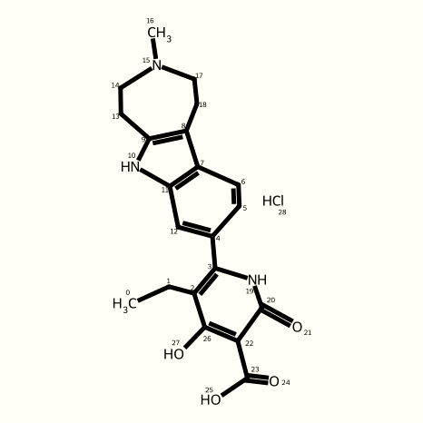 CCc1c(-c2ccc3c4c([nH]c3c2)CCN(C)CC4)[nH]c(=O)c(C(=O)O)c1O.Cl